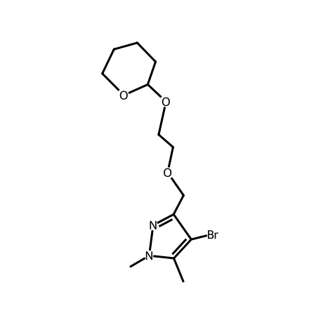 Cc1c(Br)c(COCCOC2CCCCO2)nn1C